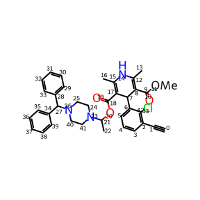 C#Cc1cccc(C2C(C(=O)OC)=C(C)NC(C)=C2C(=O)OC(C)N2CCN(C(c3ccccc3)c3ccccc3)CC2)c1Cl